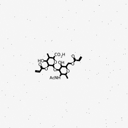 C=CC(=O)OCC1OC(C)C(NC(C)=O)C(OC2OC(C(=O)O)C(C)C(O)C2OC(=O)C=C)C1O